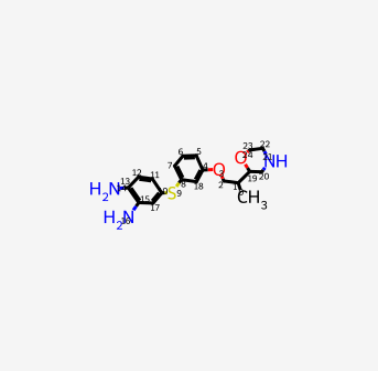 CC(COc1cccc(Sc2ccc(N)c(N)c2)c1)C1CNCCO1